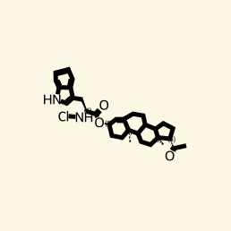 CC(=O)[C@H]1CCC2C3CCC4=C[C@@H](OC(=O)[C@H](Cc5c[nH]c6ccccc56)NCl)CC[C@]4(C)C3CC[C@@]21C